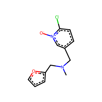 CN(Cc1ccc(Cl)[n+]([O-])c1)Cc1ccco1